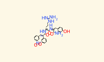 N=C(N)NCCC[C@@H](NC(=O)/C(=C/c1cccc([N+](=O)[O-])c1)c1ccccc1)C(=O)N[C@@H](Cc1ccc(O)cc1)C(N)=O